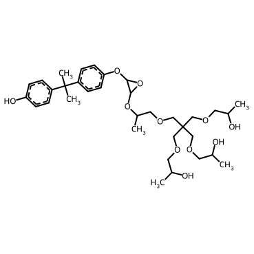 CC(O)COCC(COCC(C)O)(COCC(C)O)COCC(C)OC1OC1Oc1ccc(C(C)(C)c2ccc(O)cc2)cc1